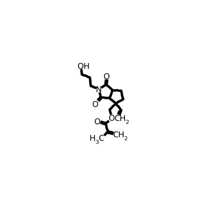 C=CC1(COC(=O)C(=C)C)CCC2C(=O)N(CCCO)C(=O)C21